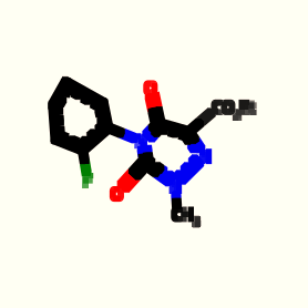 CCOC(=O)c1nn(C)c(=O)n(-c2ccccc2F)c1=O